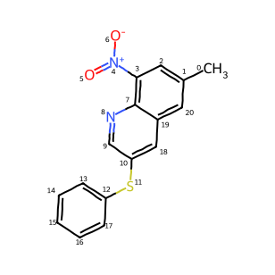 Cc1cc([N+](=O)[O-])c2ncc(Sc3ccccc3)cc2c1